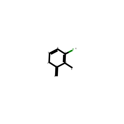 C=C1CC=CC(F)=C1C